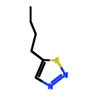 CCCCc1cnns1